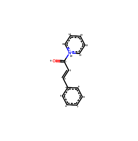 O=C(C=Cc1ccccc1)[n+]1ccccc1